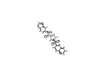 O=C(Nc1ccc2scnc2c1)C1CCN(S(=O)(=O)c2ccc3ncccc3c2)C1